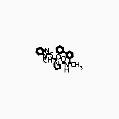 CC(NC(=O)[C@@H]1CCCN1C(=O)CSc1nc2ccccc2n1C)c1cccc(-c2ccccc2)c1